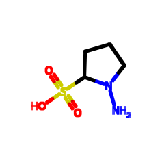 NN1CCCC1S(=O)(=O)O